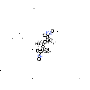 CC1(C)c2cc3c(cc2-c2cc4c(cc21)-c1c(cc(C2=NC5C=CC=CC5N2)c2ccccc12)C4(C)C)C(C)(C)c1cc(C2=NC4C=CC=CC4N2)c2ccccc2c1-3